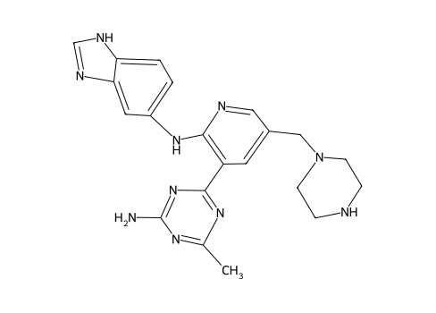 Cc1nc(N)nc(-c2cc(CN3CCNCC3)cnc2Nc2ccc3[nH]cnc3c2)n1